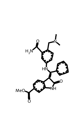 COC(=O)c1ccc2c(c1)NC(=O)C2=C(Nc1ccc(CN(C)C)c(C(N)=O)c1)c1ccccc1